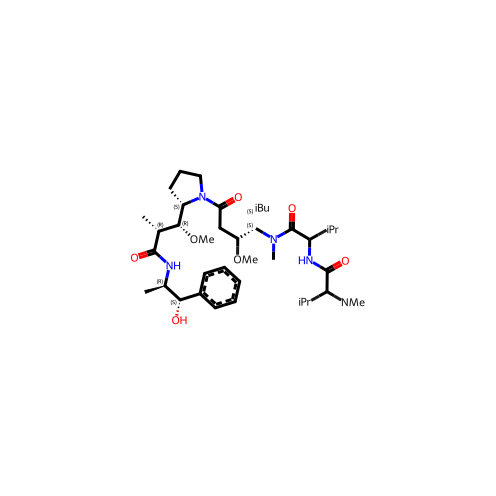 CC[C@H](C)[C@@H](C(CC(=O)N1CCC[C@H]1[C@H](OC)[C@@H](C)C(=O)N[C@H](C)[C@@H](O)c1ccccc1)OC)N(C)C(=O)C(NC(=O)C(NC)C(C)C)C(C)C